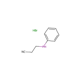 Br.N#CCCPc1ccccc1